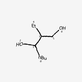 CCCCC(O)C(CC)CO